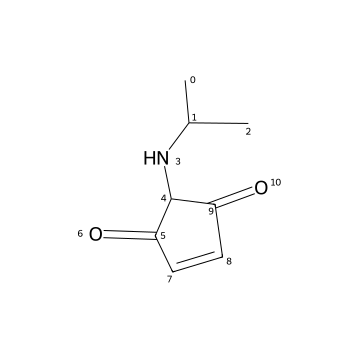 CC(C)NC1C(=O)C=CC1=O